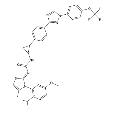 COc1ccc(C(C)C)c(-n2c(C)cs/c2=N\C(=O)NC2CC2c2ccc(-c3ncn(-c4ccc(OC(F)(F)F)cc4)n3)cc2)c1